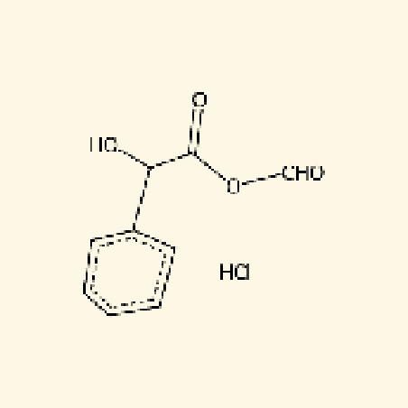 Cl.O=COC(=O)C(O)c1ccccc1